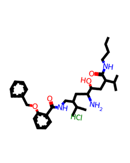 CCCCNC(=O)C(CC(O)C(N)CC(CNC(=O)c1ccccc1OCc1ccccc1)C(C)C)C(C)C.Cl